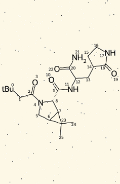 CC(C)(C)CC(=O)N1CC2C([C@H]1C(=O)NC(CC1CCNC1=O)C(N)=O)C2(C)C